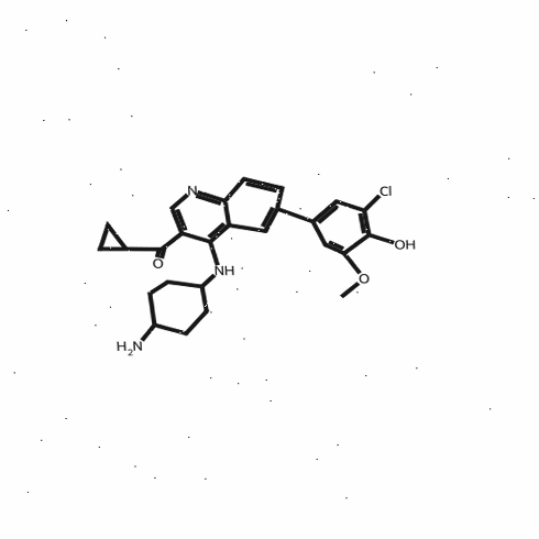 COc1cc(-c2ccc3ncc(C(=O)C4CC4)c(NC4CCC(N)CC4)c3c2)cc(Cl)c1O